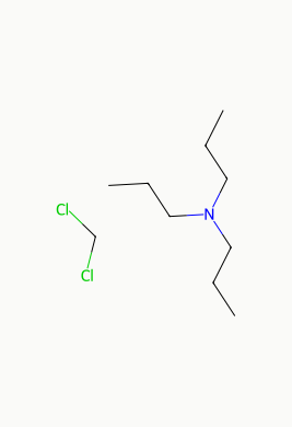 CCCN(CCC)CCC.ClCCl